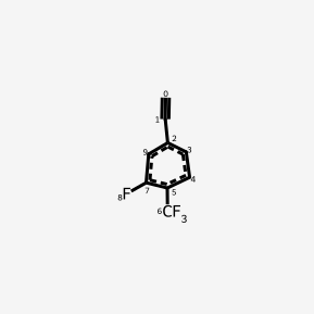 C#Cc1ccc(C(F)(F)F)c(F)c1